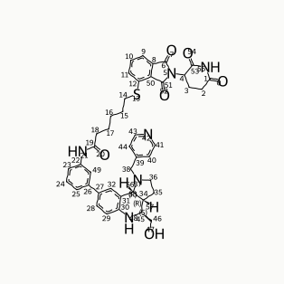 O=C1CCC(N2C(=O)c3cccc(SCCCCCC(=O)Nc4cccc(-c5ccc6c(c5)[C@H]5[C@H](CCN5Cc5ccncc5)[C@@H](CO)N6)c4)c3C2=O)C(=O)N1